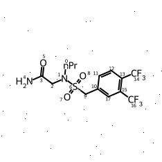 CCCN(CC(N)=O)S(=O)(=O)Cc1ccc(C(F)(F)F)c(C(F)(F)F)c1